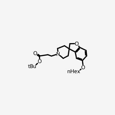 CCCCCCOc1ccc2c(c1)C1(CCN(CCC(=O)OC(C)(C)C)CC1)CO2